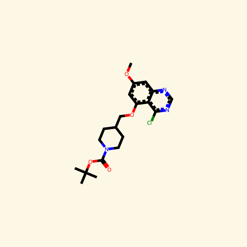 COc1cc(OCC2CCN(C(=O)OC(C)(C)C)CC2)c2c(Cl)ncnc2c1